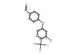 O=Cc1ccc(Oc2cnc(C(F)(F)F)c(Cl)c2)cc1